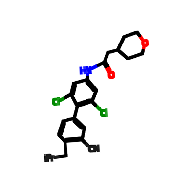 CC(C)Cc1ccc(-c2c(Cl)cc(NC(=O)CC3CCOCC3)cc2Cl)cc1C#N